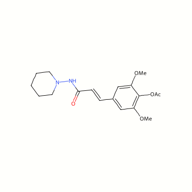 COc1cc(C=CC(=O)NN2CCCCC2)cc(OC)c1OC(C)=O